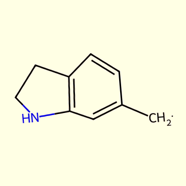 [CH2]c1ccc2c(c1)NCC2